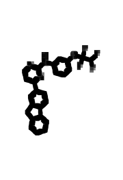 FC(F)C(F)(F)Oc1cccc(Nc2nccc(-c3ccc4c(c3)Cc3ccccc3-4)n2)c1